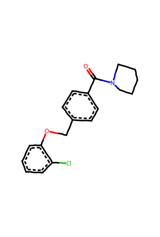 O=C(c1ccc(COc2ccccc2Cl)cc1)N1CCCCC1